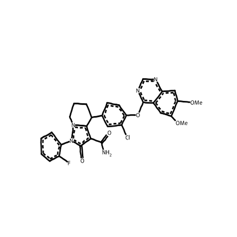 COc1cc2ncnc(Oc3ccc(C4CCCn5c4c(C(N)=O)c(=O)n5-c4ccccc4F)cc3Cl)c2cc1OC